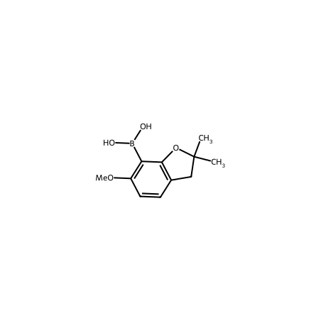 COc1ccc2c(c1B(O)O)OC(C)(C)C2